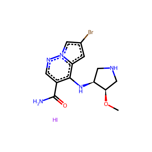 CO[C@@H]1CNC[C@@H]1Nc1c(C(N)=O)cnn2cc(Br)cc12.I